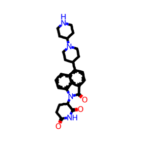 O=C1CCC(N2C(=O)c3ccc(C4CCN(C5CCNCC5)CC4)c4cccc2c34)C(=O)N1